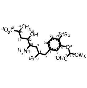 COC(C=O)Oc1cc(CC(CC(N)C(O)CC(C)C(=O)O)C(C)C)ccc1C(C)(C)C